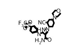 N#C[C@H]1C[C@@H](N2CCOCC2)CCC1n1cc(C(N)=O)c(Nc2ccc(S(=O)(=O)C(F)(F)F)cc2)n1